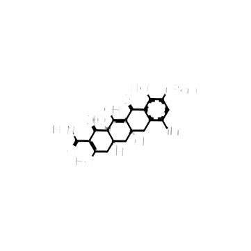 CCCCCc1cc(C(C)C)c2c(c1O)C(=O)C1=C(C)[C@]3(O)C(=O)C(C(N)=O)=C(O)C[C@@H]3C[C@]1(C)C2